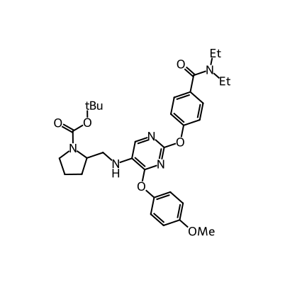 CCN(CC)C(=O)c1ccc(Oc2ncc(NCC3CCCN3C(=O)OC(C)(C)C)c(Oc3ccc(OC)cc3)n2)cc1